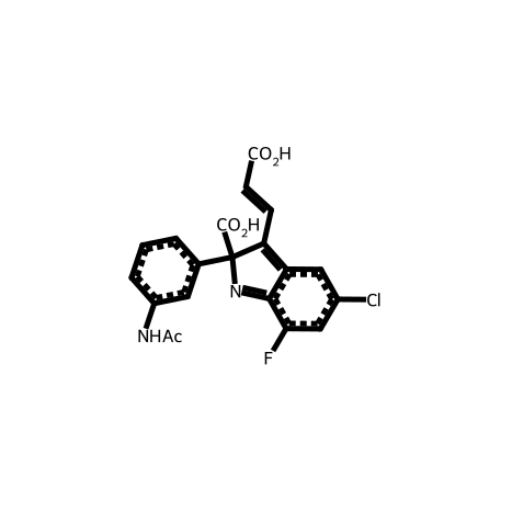 CC(=O)Nc1cccc(C2(C(=O)O)N=c3c(F)cc(Cl)cc3=C2C=CC(=O)O)c1